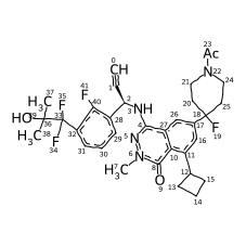 C#C[C@@H](Nc1nn(C)c(=O)c2c(C3CCC3)cc(C3(F)CCN(C(C)=O)CC3)cc12)c1cccc(C(F)(F)C(C)(C)O)c1F